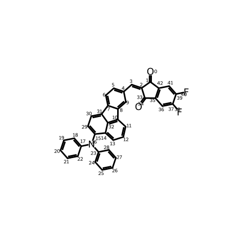 O=C1C(=Cc2ccc3c(c2)-c2cccc4c(N(c5ccccc5)c5ccccc5)ccc-3c24)C(=O)c2cc(F)c(F)cc21